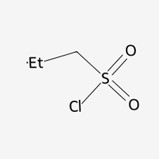 C[CH]CS(=O)(=O)Cl